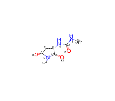 CC(C)NC(=O)NC1CC(=O)N(C)C1=O